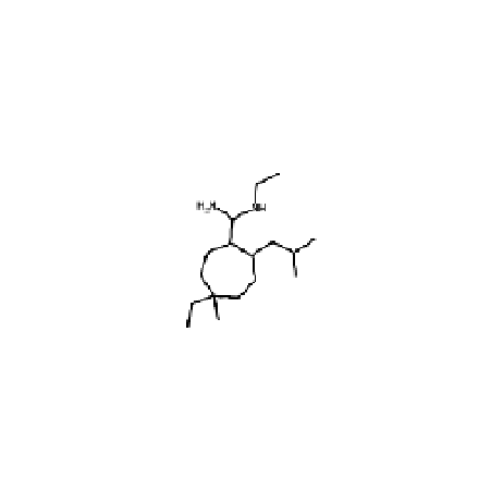 CCNC(N)C1CCC(C)(CC)CCC1CC(C)C